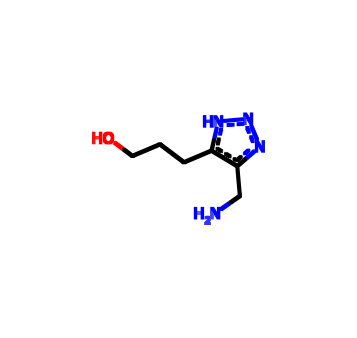 NCc1nn[nH]c1CCCO